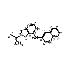 CC(C)C(C)N1Cc2ncnc(Nc3cnc4ccccc4c3)c2C1